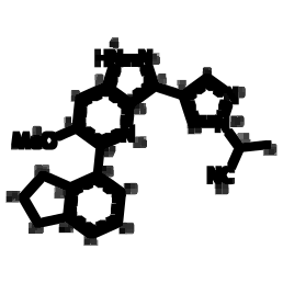 COc1cc2[nH]nc(-c3cnn(C(C)C#N)c3)c2nc1-c1cccc2c1CCC2